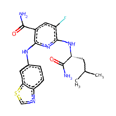 CC(C)C[C@@H](Nc1nc(Nc2ccc3ncsc3c2)c(C(N)=O)cc1F)C(N)=O